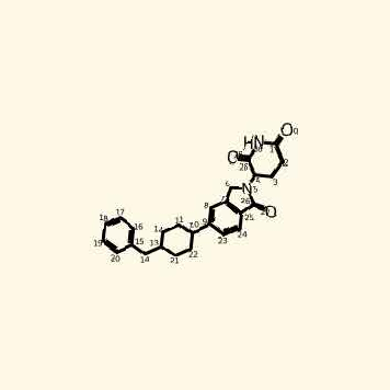 O=C1CCC(N2Cc3cc(C4CCC(Cc5ccccc5)CC4)ccc3C2=O)C(=O)N1